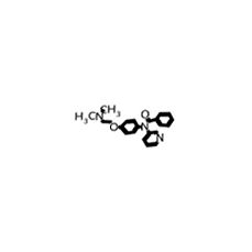 CN(C)CCOc1ccc(N(C(=O)c2ccccc2)c2cccnc2)cc1